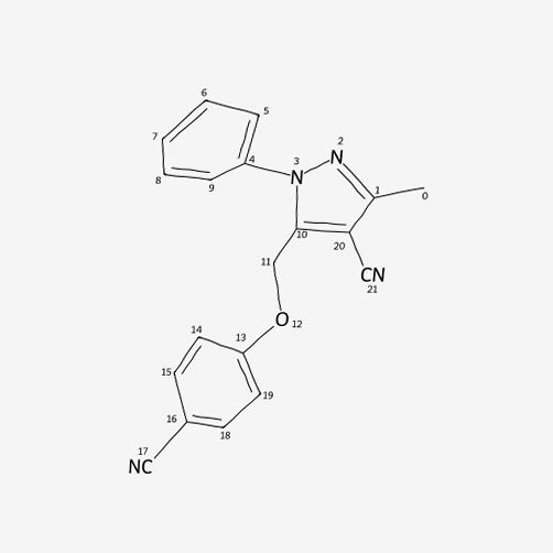 Cc1nn(-c2ccccc2)c(COc2ccc(C#N)cc2)c1C#N